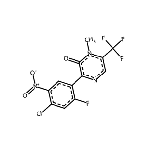 Cn1c(C(F)(F)F)cnc(-c2cc([N+](=O)[O-])c(Cl)cc2F)c1=O